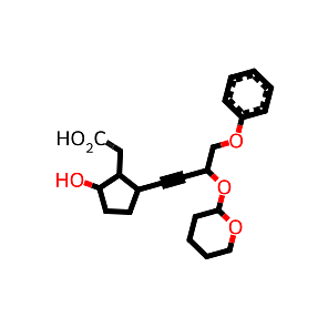 O=C(O)CC1C(O)CCC1C#CC(COc1ccccc1)OC1CCCCO1